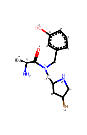 CCC(C)[C@H](N)C(=O)N(Cc1cccc(O)c1)CC1CC(S)CN1